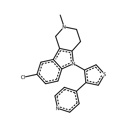 CN1CCc2c(c3cc(Cl)ccc3n2-c2cscc2-c2ccncc2)C1